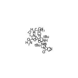 CC(C)(C)[C@H](NC(=O)N[C@H](CN1C(=O)c2ccncc2C1=O)C(C)(C)C)C(=O)N1C[C@H]2C([C@H]1C(=O)NC(CC1CCC1)C(=O)C(N)=O)C2(C)C